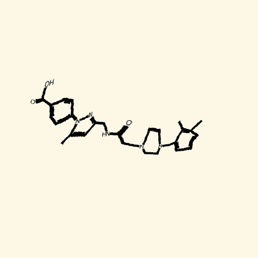 Cc1cccc(N2CCN(CC(=O)NCc3cc(C)n(-c4ccc(C(=O)O)cc4)n3)CC2)c1C